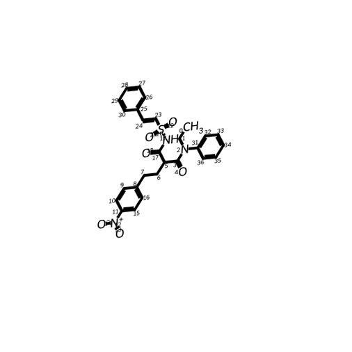 CCN(C(=O)C(CCc1ccc([N+](=O)[O-])cc1)C(=O)NS(=O)(=O)/C=C/c1ccccc1)c1ccccc1